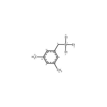 CC[Si](CC)(CC)Cc1cc(C)cc(C)c1